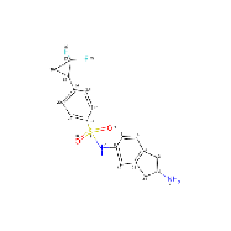 NC1Cc2ccc(NS(=O)(=O)c3ccc(C4CC4(F)F)cc3)cc2C1